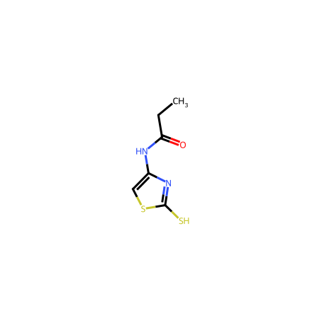 CCC(=O)Nc1csc(S)n1